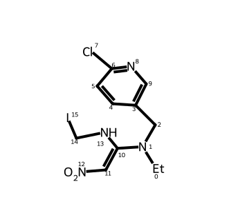 CCN(Cc1ccc(Cl)nc1)C(=C[N+](=O)[O-])NCI